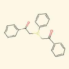 O=C(C[S+](CC(=O)c1ccccc1)c1ccccc1)c1ccccc1